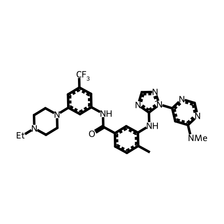 CCN1CCN(c2cc(NC(=O)c3ccc(C)c(Nc4ncnn4-c4cc(NC)ncn4)c3)cc(C(F)(F)F)c2)CC1